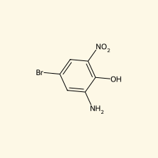 Nc1cc(Br)cc([N+](=O)[O-])c1O